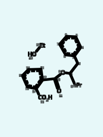 CCCC(Cc1ccccc1)OC(=O)c1ccccc1C(=O)O.CCO